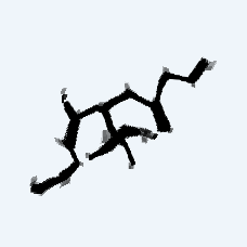 C=CCC(=C)CC(/C(F)=C\C=C/C)C(C)(C)C(C)(C)C